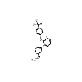 COc1cccc(-c2cccnc2Oc2ccc(C(F)(F)F)cc2)n1